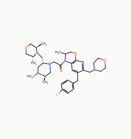 CC1COc2nc(CN3CCOCC3)c(Cc3ccc(F)cc3)cc2N1C(=O)CN1C[C@@H](C)N(C(=O)O)C[C@@H]1CN1[C@H](C)COC[C@H]1C